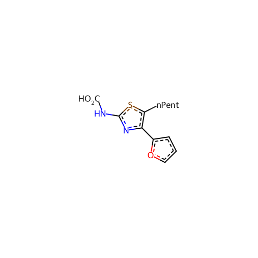 CCCCCc1sc(NC(=O)O)nc1-c1ccco1